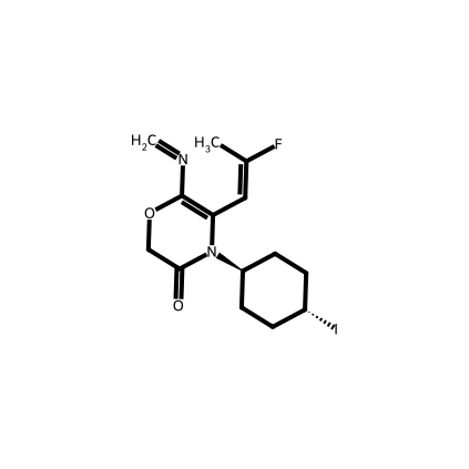 C=NC1=C(/C=C(\C)F)N([C@H]2CC[C@H](I)CC2)C(=O)CO1